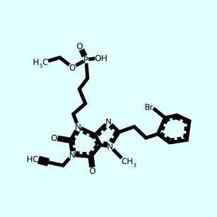 C#CCn1c(=O)c2c(nc(CCc3ccccc3Br)n2C)n(CCCCP(=O)(O)OCC)c1=O